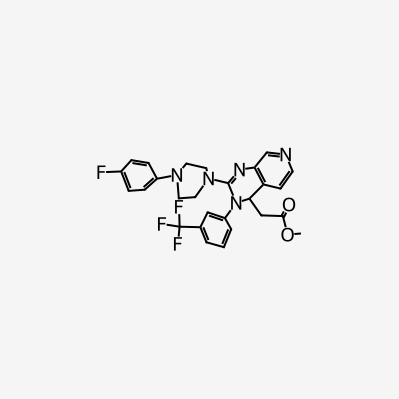 COC(=O)CC1c2ccncc2N=C(N2CCN(c3ccc(F)cc3)CC2)N1c1cccc(C(F)(F)F)c1